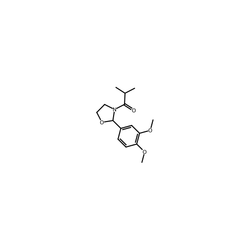 COc1ccc(C2OCCN2C(=O)C(C)C)cc1OC